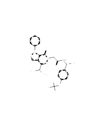 CC(C)c1nn(CC(=O)N[C@@H](C)c2ccc(OC(F)(F)F)cc2)c(=O)c2c1cnn2-c1ccccc1